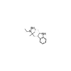 BN(CC)C(C)(C)C[C@H]1c2ccccc2N[C@H]1C